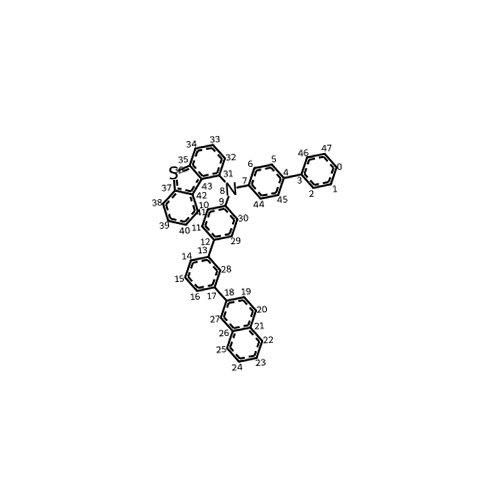 c1ccc(-c2ccc(N(c3ccc(-c4cccc(-c5ccc6ccccc6c5)c4)cc3)c3cccc4sc5ccccc5c34)cc2)cc1